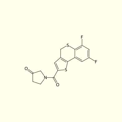 O=C1CCN(C(=O)c2cc3c(s2)-c2cc(F)cc(F)c2SC3)C1